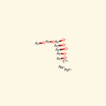 CC(=O)[O-].CC(=O)[O-].CC(=O)[O-].CC(=O)[O-].CC(=O)[O-].CC(=O)[O-].CC(=O)[O-].[C+4].[Na+].[Pd+2]